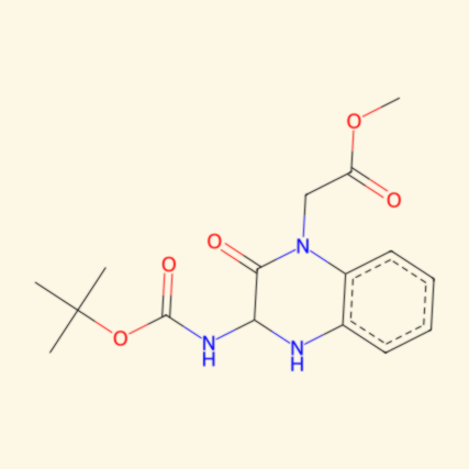 COC(=O)CN1C(=O)C(NC(=O)OC(C)(C)C)Nc2ccccc21